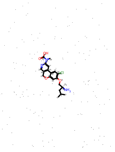 CC(C)C[C@](C)(N)COc1cc2c(cc1Cl)-c1cc(N(C)C(=O)O)ncc1CO2